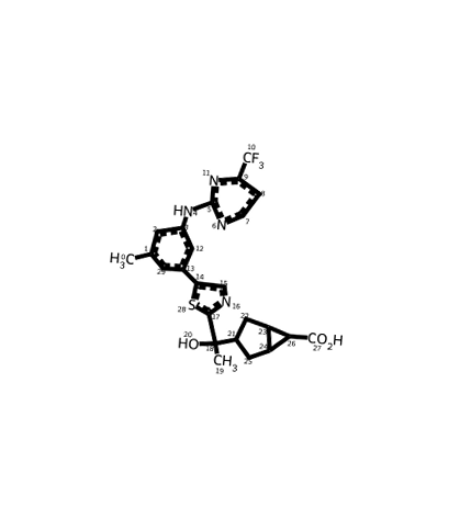 Cc1cc(Nc2nccc(C(F)(F)F)n2)cc(-c2cnc(C(C)(O)C3CC4C(C3)C4C(=O)O)s2)c1